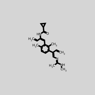 C=C/C(=C\c1c(C)ccc(/C(C=C)=C/N=C(\C)NC)c1C)NC(=O)C1CC1